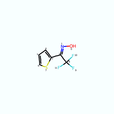 ON=C(c1cccs1)C(F)(F)F